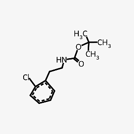 CC(C)(C)OC(=O)NCCc1ccccc1Cl